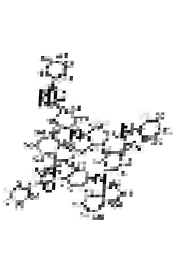 c1ccc(-c2nnc(-c3ccc(N(c4ccc(-c5nc6ccccc6nc5-c5ccc(N(c6ccc(-c7nnc(-c8ccccc8)o7)cc6)c6cccc7ccccc67)cc5)cc4)c4cccc5ccccc45)cc3)o2)cc1